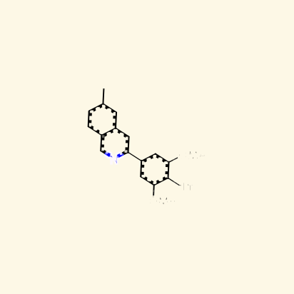 COc1cc(-c2cc3cc(C)ccc3cn2)cc(OC)c1C(C)C